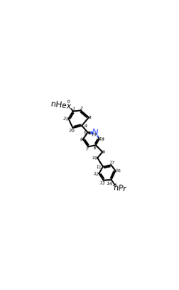 CCCCCCc1ccc(-c2ccc(CCc3ccc(CCC)cc3)cn2)cc1